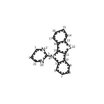 c1cnc(-n2c3ccccc3c3sc4ccccc4c32)nc1